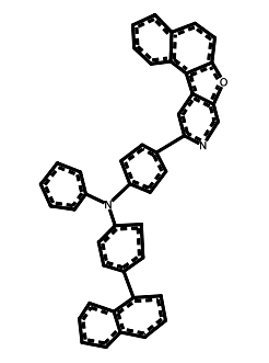 c1ccc(N(c2ccc(-c3cc4c(cn3)oc3ccc5ccccc5c34)cc2)c2ccc(-c3cccc4ccccc34)cc2)cc1